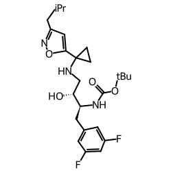 CC(C)Cc1cc(C2(NC[C@@H](O)[C@H](Cc3cc(F)cc(F)c3)NC(=O)OC(C)(C)C)CC2)on1